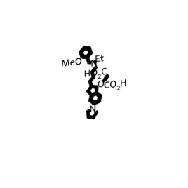 CCN(CCCCC1Cc2cc(N3CCCC3)ccc2C1=O)Cc1ccccc1OC.O=C(O)C=CC(=O)O